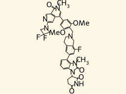 COc1cc(-c2cn(C)c(=O)c3cnc(N4CC(F)(F)C4)cc23)cc(OC)c1CN1CCc2cc(-c3cccc4c3n(C)c(=O)n4C3CCC(=O)NC3=O)cc(F)c2C1